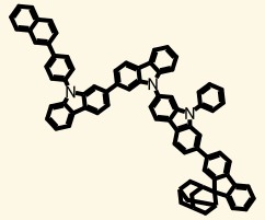 c1ccc(-n2c3cc(-c4ccc5c(c4)C4(c6ccccc6-5)C5CC6CC(C5)CC4C6)ccc3c3ccc(-n4c5ccccc5c5ccc(-c6ccc7c8ccccc8n(-c8ccc(-c9ccc%10ccccc%10c9)cc8)c7c6)cc54)cc32)cc1